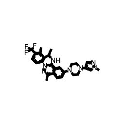 Cc1c(C(C)Nc2nnc(C)c3ccc(N4CCN(c5cnn(C)c5)CC4)cc23)cccc1C(F)(F)F